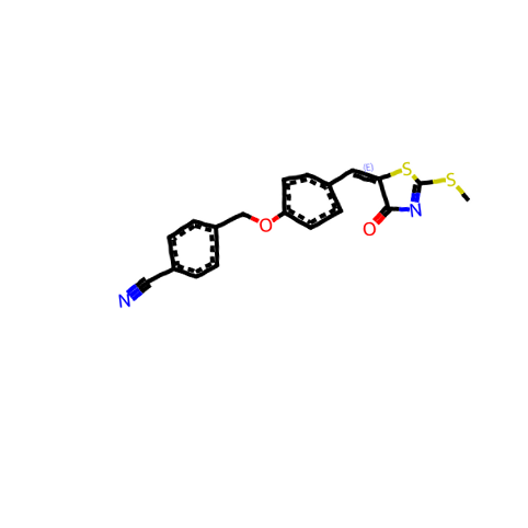 CSC1=NC(=O)/C(=C\c2ccc(OCc3ccc(C#N)cc3)cc2)S1